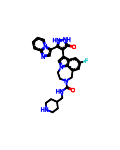 O=C(NCC1CCNCC1)N1CCn2cc(-c3c(-c4cnc5ccccn45)[nH][nH]c3=O)c3cc(F)cc(c32)C1